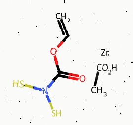 C=COC(=O)N(S)S.CC(=O)O.[Zn]